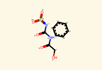 O=C(CO)NC(=O)N=S(=O)=O.c1ccccc1